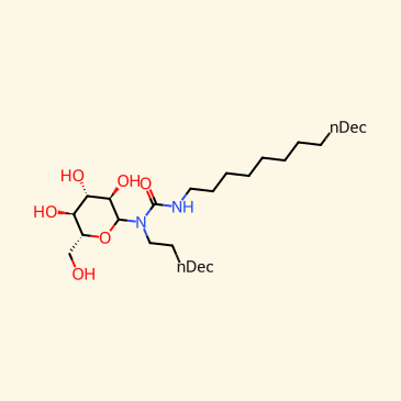 CCCCCCCCCCCCCCCCCCNC(=O)N(CCCCCCCCCCCC)C1O[C@H](CO)[C@@H](O)[C@H](O)[C@H]1O